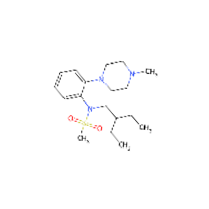 CCC(CC)CN(c1ccccc1N1CCN(C)CC1)S(C)(=O)=O